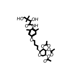 CC(=O)O[C@@H]1[C@@H](OC(C)=O)[C@H](OC(C)=O)CO[C@H]1CCCCOc1cc(C)c(NC(=O)C(O)C(C)(C)CO)c(C)c1